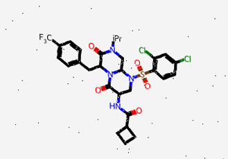 CC(C)N1CC2N(C(=O)C(NC(=O)C3CCC3)CN2S(=O)(=O)c2ccc(Cl)cc2Cl)C(Cc2ccc(C(F)(F)F)cc2)C1=O